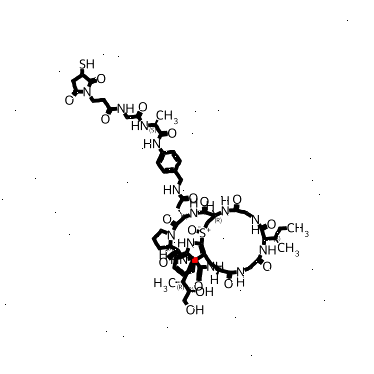 CC[C@H](C)C1NC(=O)CNC(=O)[C@H]2Cc3c([nH]c4ccccc34)[S+]([O-])C[C@H](NC(=O)CNC1=O)C(=O)N[C@@H](CC(=O)NCc1ccc(NC(=O)[C@H](C)NC(=O)CNC(=O)CCN3C(=O)CC(S)C3=O)cc1)C(=O)N1CCC[C@H]1C(=O)NC([C@@H](C)[C@@H](O)CO)C(=O)N2